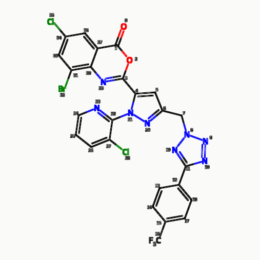 O=c1oc(-c2cc(Cn3nnc(-c4ccc(C(F)(F)F)cc4)n3)nn2-c2ncccc2Cl)nc2c(Br)cc(Cl)cc12